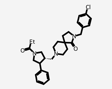 CCC(=O)N1CC(c2ccccc2)[C@@H](CN2CCC3(CC2)CCN(Cc2ccc(Cl)cc2)C3=O)C1